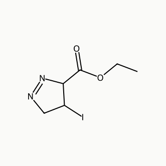 CCOC(=O)C1N=NCC1I